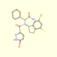 NC(=O)C(c1ccccc1)N(C(=O)c1ccc(=O)[nH]n1)[C@@H]1CCc2c(F)cc(Cl)cc21